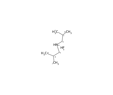 CC(C)CNCC(C)C.F